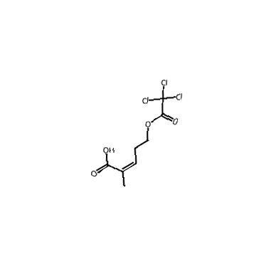 CC(=CCCOC(=O)C(Cl)(Cl)Cl)C(=O)O